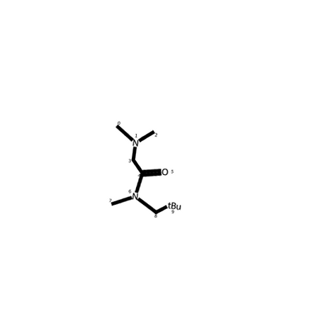 CN(C)CC(=O)N(C)CC(C)(C)C